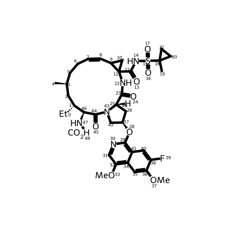 CC[C@@H]1C[C@@H](C)CC/C=C\C2CC2(C(=O)NS(=O)(=O)C2(C)CC2)NC(=O)[C@@H]2C[C@@H](Oc3ncc(OC)c4cc(OC)c(F)cc34)CN2C(=O)[C@H]1NC(=O)O